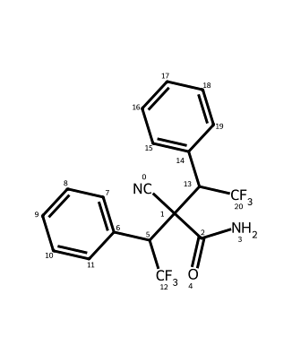 N#CC(C(N)=O)(C(c1ccccc1)C(F)(F)F)C(c1ccccc1)C(F)(F)F